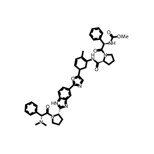 COC(=O)N[C@@H](C(=O)N1CCC[C@H]1C(=O)NC1=C(C)C=CC(c2cnc(-c3ccc4[nH]c([C@@H]5CCCN5C(=O)[C@@H](c5ccccc5)N(C)C)nc4c3)o2)C1)c1ccccc1